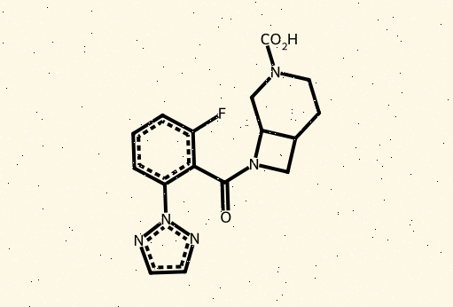 O=C(O)N1CCC2CN(C(=O)c3c(F)cccc3-n3nccn3)C2C1